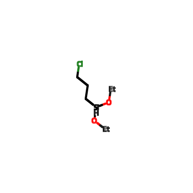 CCO[SiH](CCCCl)OCC